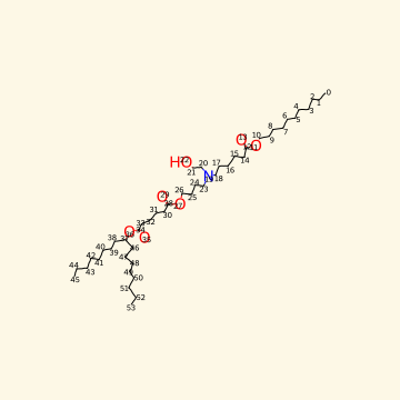 CCCCCCCCCCCOC(=O)CCCCCN(CCO)CCCCOC(=O)CCCCC(=O)OC(CCCCCCCC)CCCCCCCC